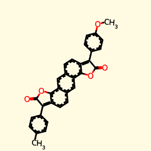 COc1ccc(C2=c3ccc4cc5c6c(ccc5cc4c3OC2=O)=C(c2ccc(C)cc2)C(=O)O6)cc1